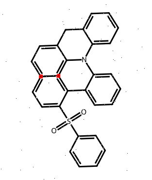 O=S(=O)(c1ccccc1)c1ccccc1-c1ccccc1N1c2ccccc2Cc2ccccc21